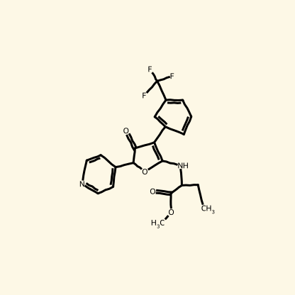 CCC(NC1=C(c2cccc(C(F)(F)F)c2)C(=O)C(c2ccncc2)O1)C(=O)OC